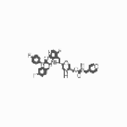 O=C(NCC1CCOCC1)OC[C@@H]1CO[C@H](CCc2c(F)cncc2N[C@@H](Cc2ccc(F)cc2)C(=O)Nc2ccc(F)cc2)CN1